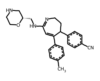 Cc1ccc(C2=CC(NC[C@H]3CNCCO3)=NCCC2c2ccc(C#N)cc2)cc1